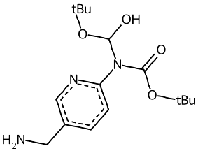 CC(C)(C)OC(=O)N(c1ccc(CN)cn1)C(O)OC(C)(C)C